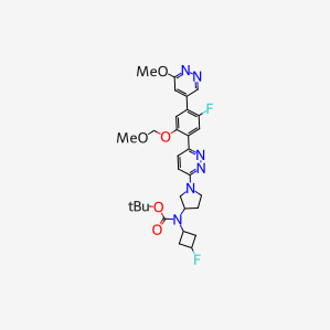 COCOc1cc(-c2cnnc(OC)c2)c(F)cc1-c1ccc(N2CCC(N(C(=O)OC(C)(C)C)C3CC(F)C3)C2)nn1